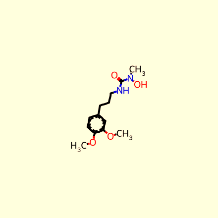 COc1ccc(CCCNC(=O)N(C)O)cc1OC